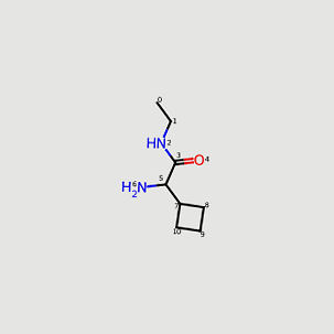 CCNC(=O)C(N)C1CCC1